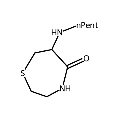 CCCCCNC1CSCCNC1=O